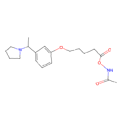 CC(=O)NOC(=O)CCCCOc1cccc(C(C)N2CCCC2)c1